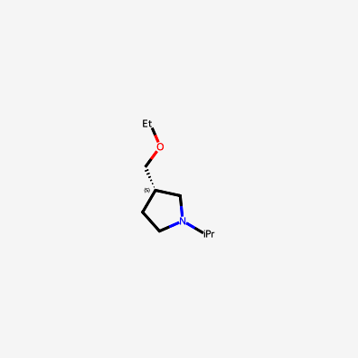 CCOC[C@H]1CCN(C(C)C)C1